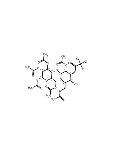 CC(=O)OC[C@H]1O[C@@H](O[C@H]2[C@H](OC(C)=O)[C@@H](OC(C)=O)[C@@H](OC(C)=O)O[C@@H]2COC(C)=O)[C@H](OC(C)=O)[C@@H](OC(=N)C(Cl)(Cl)Cl)[C@H]1O